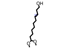 COC(CCCCCC/C=C/CCO)OC